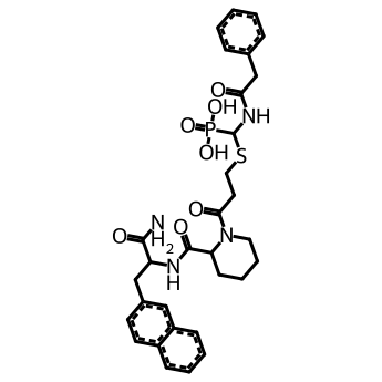 NC(=O)C(Cc1ccc2ccccc2c1)NC(=O)C1CCCCN1C(=O)CCSC(NC(=O)Cc1ccccc1)P(=O)(O)O